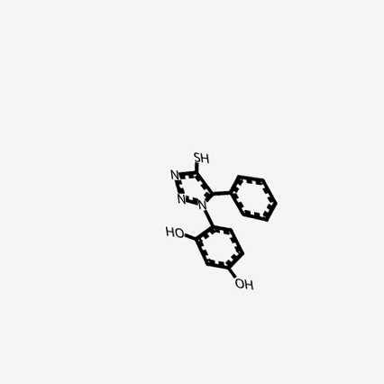 Oc1ccc(-n2nnc(S)c2-c2ccccc2)c(O)c1